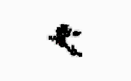 C[C@@H](S[C@H]1CO[C@H](C=CC=Cc2ccc(C#N)cc2F)OC1)[C@@](Cn1cncn1)(OC(=O)c1ccc(F)cc1COP(=O)([O-])[O-])c1ccc(F)cc1F.[Na+].[Na+]